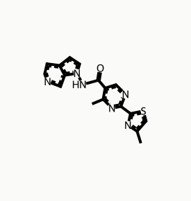 Cc1csc(-c2ncc(C(=O)Nn3ccc4ccncc43)c(C)n2)n1